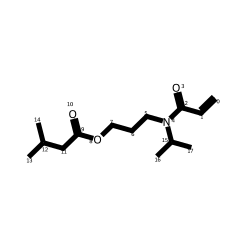 C=CC(=O)N(CCCOC(=O)CC(C)C)C(C)C